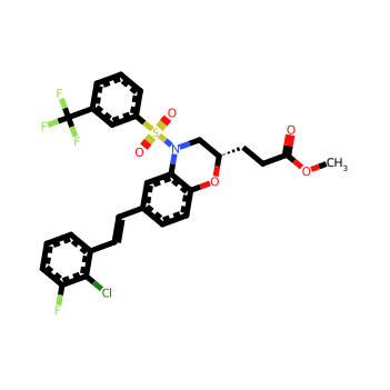 COC(=O)CC[C@H]1CN(S(=O)(=O)c2cccc(C(F)(F)F)c2)c2cc(/C=C/c3cccc(F)c3Cl)ccc2O1